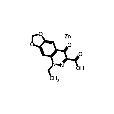 CCn1nc(C(=O)O)c(=O)c2cc3c(cc21)OCO3.[Zn]